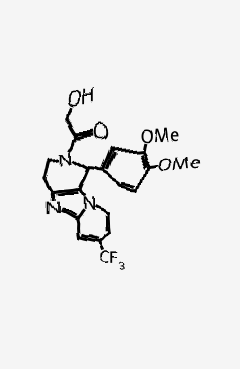 COc1ccc(C2c3c(nc4cc(C(F)(F)F)ccn34)CCN2C(=O)CO)cc1OC